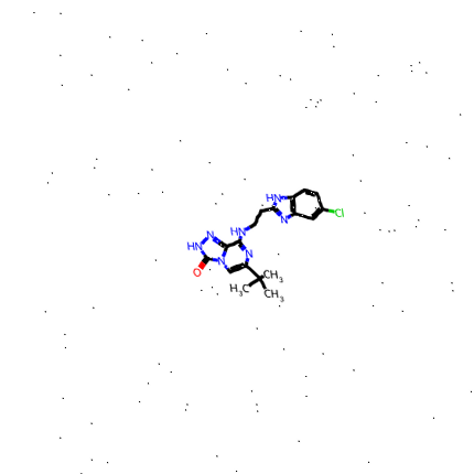 CC(C)(C)c1cn2c(=O)[nH]nc2c(NCCc2nc3cc(Cl)ccc3[nH]2)n1